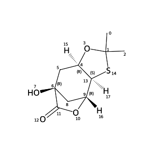 CC1(C)O[C@@H]2C[C@]3(O)C[C@@H](OC3=O)[C@@H]2S1